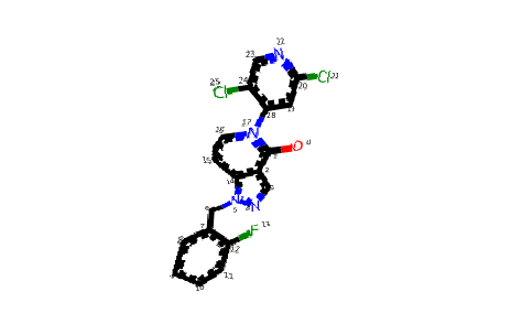 O=c1c2cnn(Cc3ccccc3F)c2ccn1-c1cc(Cl)ncc1Cl